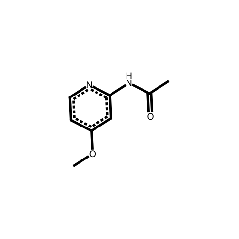 COc1ccnc(NC(C)=O)c1